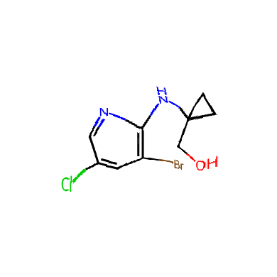 OCC1(Nc2ncc(Cl)cc2Br)CC1